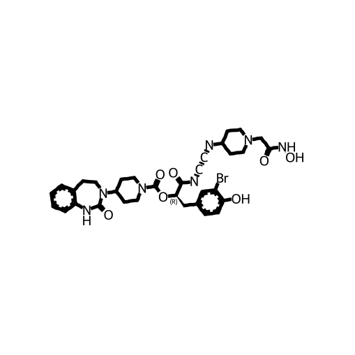 O=C(CN1CCC(N=C=C=NC(=O)[C@@H](Cc2ccc(O)c(Br)c2)OC(=O)N2CCC(N3CCc4ccccc4NC3=O)CC2)CC1)NO